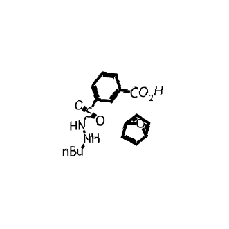 CCCCNNS(=O)(=O)c1cccc(C(=O)O)c1.c1cc2ccc1o2